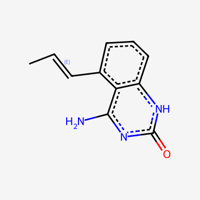 C/C=C/c1cccc2[nH]c(=O)nc(N)c12